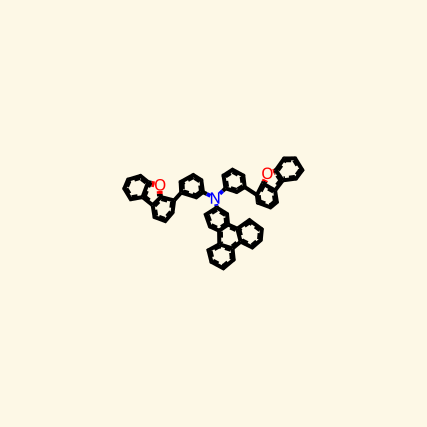 c1cc(-c2cccc3c2oc2ccccc23)cc(N(c2cccc(-c3cccc4c3oc3ccccc34)c2)c2ccc3c4ccccc4c4ccccc4c3c2)c1